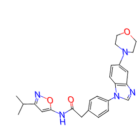 CC(C)c1cc(NC(=O)Cc2ccc(-n3cnc4cc(N5CCOCC5)ccc43)cc2)on1